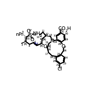 CCC[C@@H]([C@H](C)C/C=C/[C@H](O)[C@@H]1CC[C@H]1CN1CCCCc2cc(Cl)ccc2COc2ccc(C(=O)O)cc21)S(N)(=O)=O